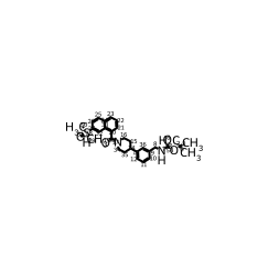 CC(C)(C)OC(=O)NCc1cccc(C2CCN(C(=O)c3cccc4ccc([SH](C)(C)=O)cc34)CC2)c1